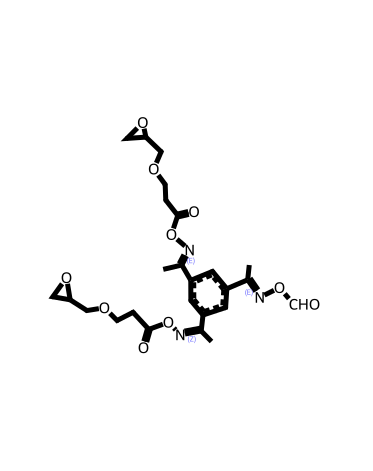 C/C(=N/OC(=O)CCOCC1CO1)c1cc(/C(C)=N/OC=O)cc(/C(C)=N/OC(=O)CCOCC2CO2)c1